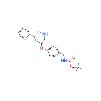 CC(C)(C)OC(=O)NCc1ccc(OC2CNCC(c3ccccc3)C2)cc1